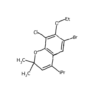 CCOc1c(Br)cc2c(c1Cl)OC(C)(C)C=C2C(C)C